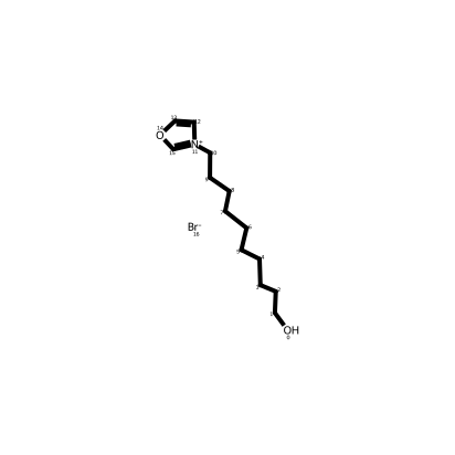 OCCCCCCCCCC[n+]1ccoc1.[Br-]